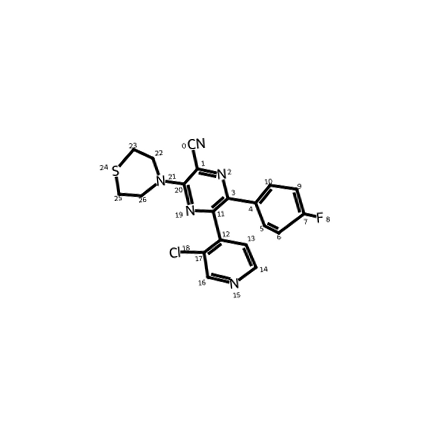 N#Cc1nc(-c2ccc(F)cc2)c(-c2ccncc2Cl)nc1N1CCSCC1